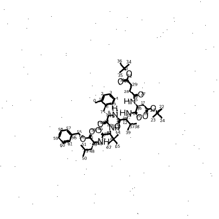 Cc1ccccc1C[C@H](NC(=O)[C@H](NC(=O)[C@H](CC(=O)OC(C)(C)C)NC(=O)CCC(=O)OC(C)(C)C)C(C)C)C(=O)N[C@H](C(=O)N[C@@H](CC(C)C)C(=O)OCc1ccccc1)C(C)(C)C